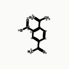 C=C(C)c1ccc(C(C)=O)cc1[N+](=O)[O-]